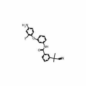 CC(C)(C#N)c1cccc(C(=O)Nc2cccc(Oc3ccc(N)cc3F)c2)c1